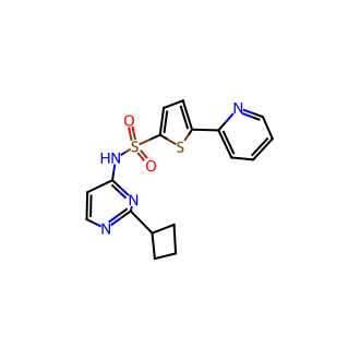 O=S(=O)(Nc1ccnc(C2CCC2)n1)c1ccc(-c2ccccn2)s1